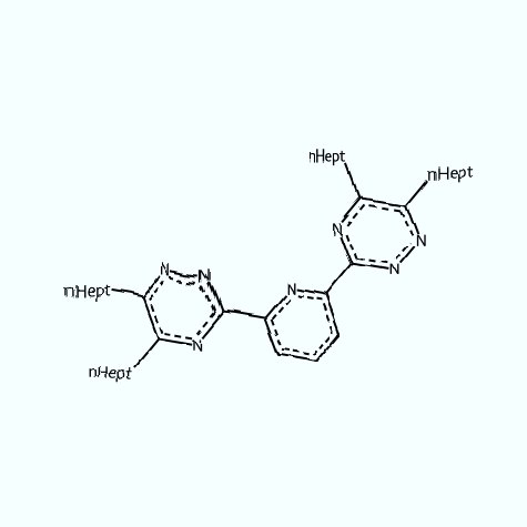 CCCCCCCc1nnc(-c2cccc(-c3nnc(CCCCCCC)c(CCCCCCC)n3)n2)nc1CCCCCCC